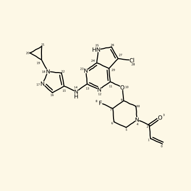 C=CC(=O)N1CCC(F)C(Oc2nc(Nc3cnn(C4CC4)c3)nc3[nH]cc(Cl)c23)C1